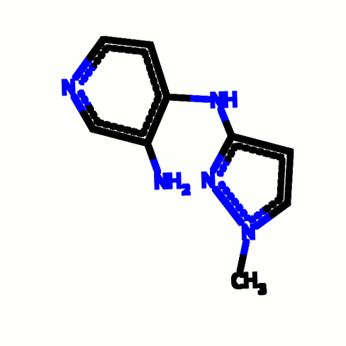 Cn1ccc(Nc2ccncc2N)n1